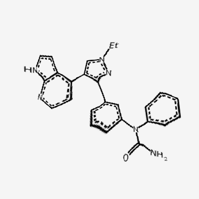 CCn1cc(-c2ccnc3[nH]ccc23)c(-c2cccc(N(C(N)=O)c3ccccc3)c2)n1